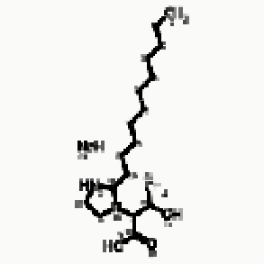 CCCCCCCCCCCC1NCCN1C(C(=O)O)C(C)O.[NaH]